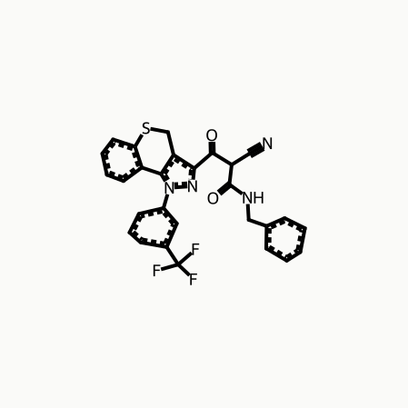 N#CC(C(=O)NCc1ccccc1)C(=O)c1nn(-c2cccc(C(F)(F)F)c2)c2c1CSc1ccccc1-2